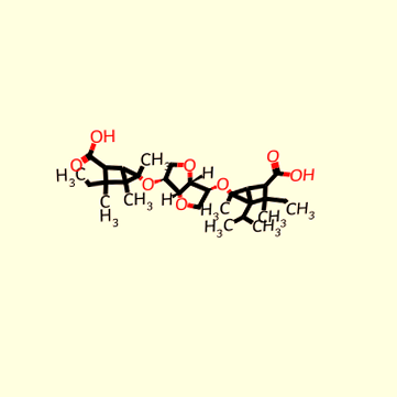 CCC1(C)C(C(=O)O)C2C(C)(O[C@H]3CO[C@H]4[C@@H]3OC[C@@H]4OC3(C)C4C(C(=O)O)C(C)(CC)C43C(C)C)C21C